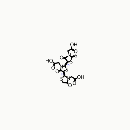 O=C(O)CN1C(=O)/C(=c2/s/c(=C3/SCC(=O)N3CC(=O)O)c(=O)n2CC(=O)O)SC1=S